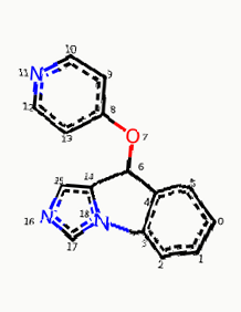 c1ccc2c(c1)C(Oc1ccncc1)c1cncn1-2